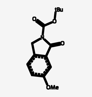 COc1ccc2c(c1)C(=O)N(C(=O)OC(C)(C)C)C2